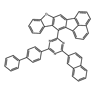 c1ccc(-c2ccc(-c3nc(-c4ccc5ccccc5c4)nc(-c4c5c(cc6oc7ccccc7c46)-c4cccc6cccc-5c46)n3)cc2)cc1